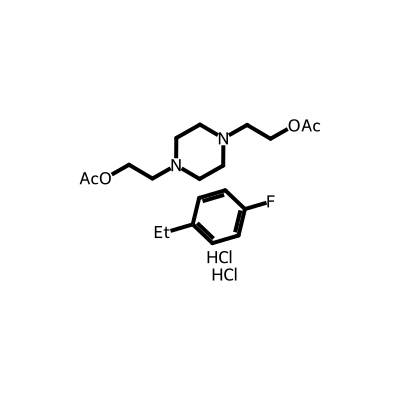 CC(=O)OCCN1CCN(CCOC(C)=O)CC1.CCc1ccc(F)cc1.Cl.Cl